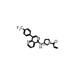 C=CC(=O)N1CC[C@H](Nc2ncc(-c3ccc(C(F)(F)F)cc3)c3ncccc23)C1